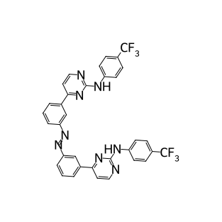 FC(F)(F)c1ccc(Nc2nccc(-c3cccc(N=Nc4cccc(-c5ccnc(Nc6ccc(C(F)(F)F)cc6)n5)c4)c3)n2)cc1